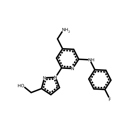 NCc1cc(Nc2ccc(F)cc2)nc(-n2ccc(CO)n2)c1